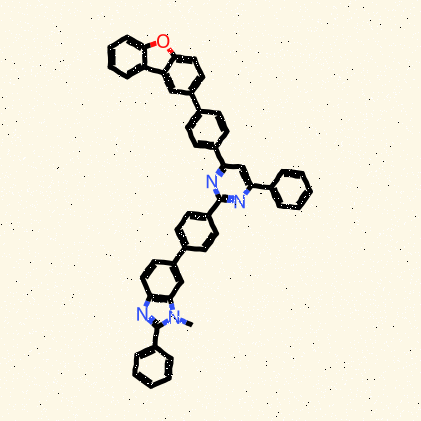 Cn1c(-c2ccccc2)nc2ccc(-c3ccc(-c4nc(-c5ccccc5)cc(-c5ccc(-c6ccc7oc8ccccc8c7c6)cc5)n4)cc3)cc21